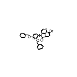 O=C1c2ccc(Br)c3nccc(c23)N1c1ccc(OCc2ccccc2)nc1OCc1ccccc1